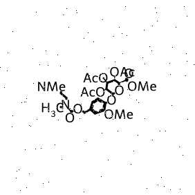 CNCCN(C)C(=O)OCc1ccc(O[C@@H]2O[C@H](C(=O)OC)[C@@H](OC(C)=O)[C@H](OC(C)=O)[C@H]2OC(C)=O)c(OC)c1